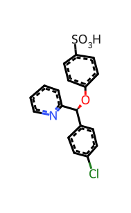 O=S(=O)(O)c1ccc(O[C@@H](c2ccc(Cl)cc2)c2ccccn2)cc1